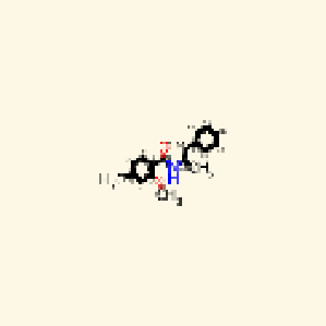 COc1cc(C)ccc1C(=O)NC(C)Cc1ccccc1